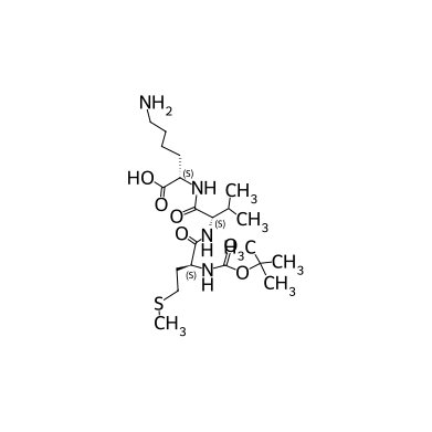 CSCC[C@H](NC(=O)OC(C)(C)C)C(=O)N[C@H](C(=O)N[C@@H](CCCCN)C(=O)O)C(C)C